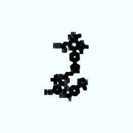 Cc1ncsc1-c1ccc([C@H](C)NC(=O)[C@@H]2C[C@@H](O)CN2C(=O)[C@@H](NC(=O)CCn2cc(-c3ccc(C4=N[C@@H](CC(=O)O)c5nnc(C)n5-c5sc(C)c(C)c54)cc3)cn2)C(C)(C)C)cc1